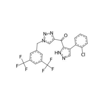 O=C(c1cn(Cc2cc(C(F)(F)F)cc(C(F)(F)F)c2)nn1)c1[nH]ncc1-c1ccccc1Cl